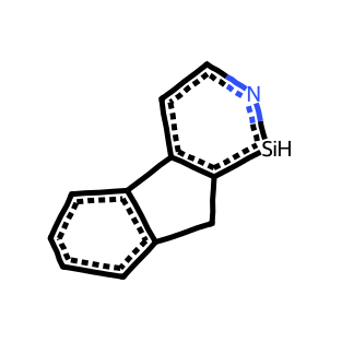 c1ccc2c(c1)Cc1[siH]nccc1-2